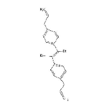 C=CCc1ccc(/C(CC)=C(\CC)c2ccc(CC=C)cc2)cc1